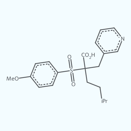 COc1ccc(S(=O)(=O)C(CCC(C)C)(Cc2cccnc2)C(=O)O)cc1